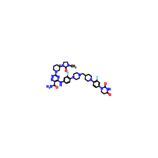 CN1CCN([C@@H]2CCCN(c3nnc(C(N)=O)c(Nc4ccc(N5CCN(CC6CCN(c7ccc(N8CCC(=O)NC8=O)cc7F)CC6)CC5)c(F)c4)n3)C2)C1=O